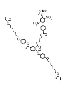 C=CC(=O)OCCCCCCCOc1ccc(OC(=O)c2ccc(C(=O)Oc3ccc(OCCCCCCCOC(=O)C=C)cc3)c(C(=O)OCCCOC(=O)c3ccc(-c4cc([N+](=O)[O-])c(O[C@@H](C)CCCCCC)cc4N)cc3)c2)cc1